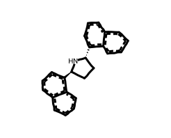 c1ccc2c([C@@H]3CC[C@@H](c4cccc5ccccc45)N3)cccc2c1